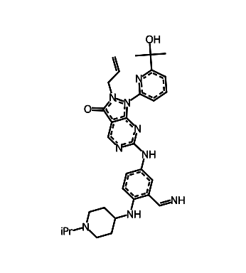 C=CCn1c(=O)c2cnc(Nc3ccc(NC4CCN(C(C)C)CC4)c(C=N)c3)nc2n1-c1cccc(C(C)(C)O)n1